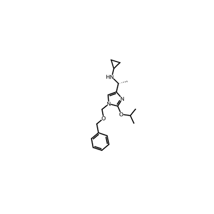 CC(C)Oc1nc([C@@H](C)NC2CC2)cn1COCc1ccccc1